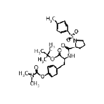 Cc1ccc(S(=O)(=O)N2CCC[C@H]2C(=O)N[C@@H](Cc2ccc(OC(=O)N(C)C)cc2)C(=O)OC(C)(C)C)cc1